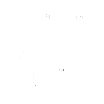 Cc1c(Cl)cccc1CC(Br)C#N